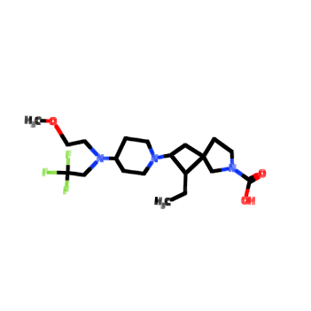 CCC1C(N2CCC(N(CCOC)CC(F)(F)F)CC2)CC12CCN(C(=O)O)C2